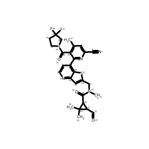 Cc1cc(C#N)nc(-c2ccnc3cc(CN(C)C(=O)C4C(C=O)C4(C)C)sc23)c1C(=O)N1CCC(F)(F)C1